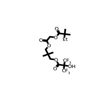 CCC(C)(C)C(=O)OCC(=O)OCC(C)(C)COC(=O)C(O)(C(F)(F)F)C(F)(F)F